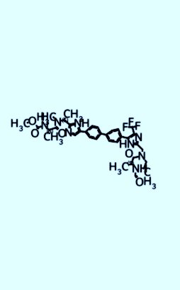 CCCN(Cc1nc(C(F)(F)F)c(-c2ccc(-c3ccc(-c4cnc([C@H](C)N(C)C(=O)[C@H](C)NC(=O)OC)[nH]4)cc3)cc2)[nH]1)C(=O)[C@H](C)NC=O